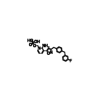 NC1C(c2cc(Cc3ccc(Cc4cccc(F)c4)cc3)no2)=CC=CN1COP(=O)(O)O